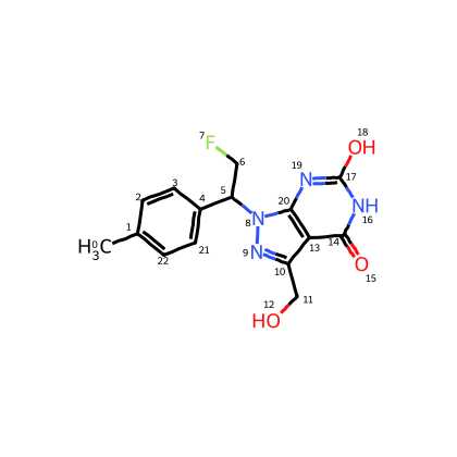 Cc1ccc(C(CF)n2nc(CO)c3c(=O)[nH]c(O)nc32)cc1